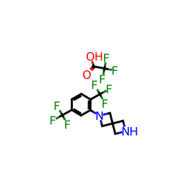 FC(F)(F)c1ccc(C(F)(F)F)c(N2CC3(CNC3)C2)c1.O=C(O)C(F)(F)F